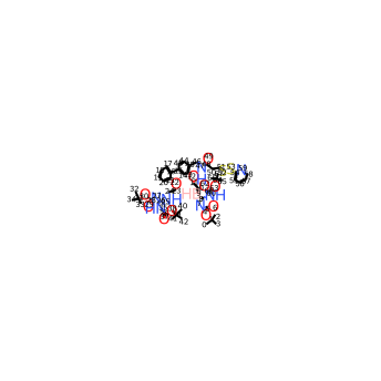 CC(C)(C)OC(=O)/N=C(/BCCOc1cc(-c2ccccc2OCCN/C(=N/C(=O)OC(C)(C)C)NC(=O)OC(C)(C)C)ccc1CNC(=O)CCSSc1ccccn1)NC(=O)OC(C)(C)C